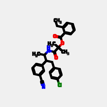 CCc1ccccc1C(=O)OC(C)(C)C(=O)NC(C)C(Cc1ccc(Cl)cc1)c1cccc(C#N)c1